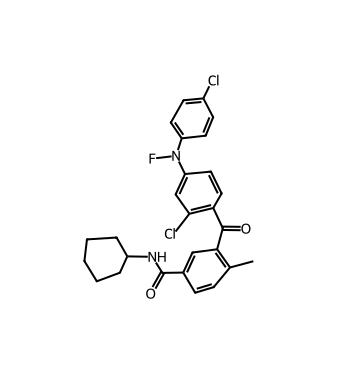 Cc1ccc(C(=O)NC2CCCCC2)cc1C(=O)c1ccc(N(F)c2ccc(Cl)cc2)cc1Cl